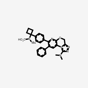 CN(C)c1nnc2n1-c1cc(-c3ccccc3)c(-c3ccc(C4(N(C(=O)O)C(C)(C)C)CCC4)cc3)nc1OC2